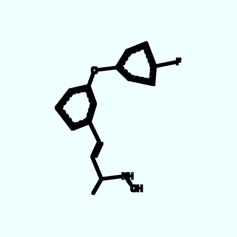 CC(C=Cc1cccc(Oc2ccc(F)cc2)c1)NO